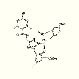 COc1ccc(CNc2nc3c(OC)cc(F)cc3c3nc(CNC(=O)c4c(F)cc(Br)cc4F)nn23)c(OC)c1